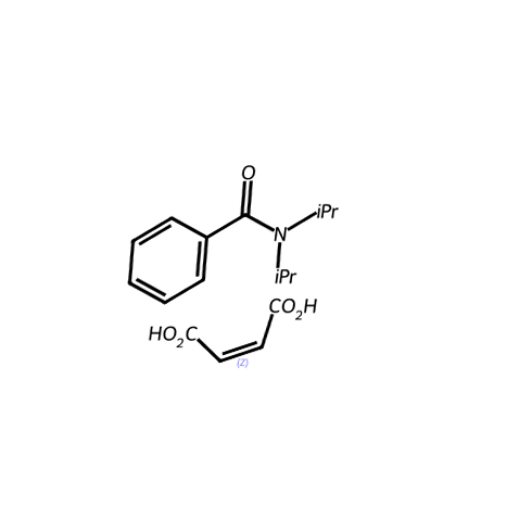 CC(C)N(C(=O)c1ccccc1)C(C)C.O=C(O)/C=C\C(=O)O